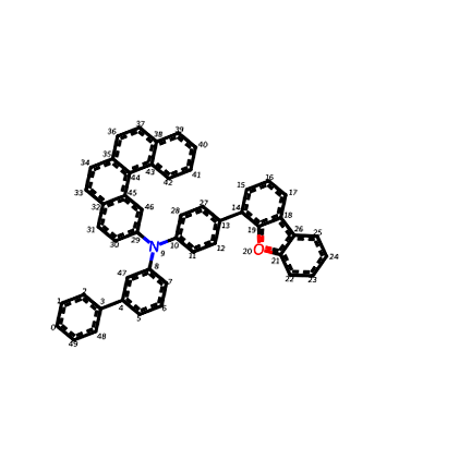 c1ccc(-c2cccc(N(c3ccc(-c4cccc5c4oc4ccccc45)cc3)c3ccc4ccc5ccc6ccccc6c5c4c3)c2)cc1